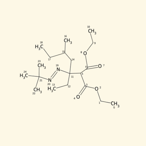 CCOC(=O)C(C(=O)OCC)C(CC)(CC(C)CC)N=NC(C)(C)C